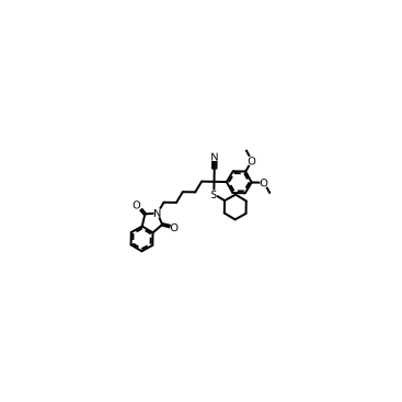 COc1ccc(C(C#N)(CCCCCN2C(=O)c3ccccc3C2=O)SC2CCCCC2)cc1OC